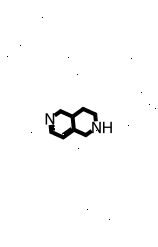 C1=NCC2CCNCC2=C1